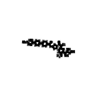 CCN(C(=O)[C@@H]1CCN(CC(=O)N2CC=C(c3ccc(C(=N)/N=C\NC)cc3)CC2)C1)c1ccc(N)c(C(=N)C(=N)C=N)n1